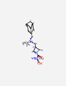 CN(CCC1CC2CC(C1)C2)CC1CN(C(=O)NO)C1